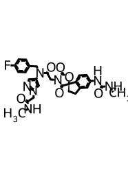 CNC(=O)Cn1cc(N(Cc2ccc(F)cc2)C(=O)CN2C(=O)O[C@@]3(CCc4cc(NC(=O)NC)ccc43)C2=O)cn1